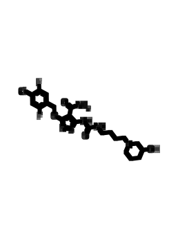 NC(=O)c1c(OCc2cc(F)c(Cl)cc2F)nsc1NC(=O)NCCCCN1CCCC(O)C1